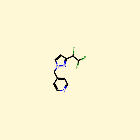 FC(F)C(F)c1ccn(Cc2ccncc2)n1